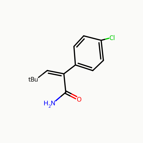 CC(C)(C)C=C(C(N)=O)c1ccc(Cl)cc1